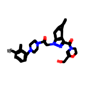 Cc1c(N2CCN(C(=O)Cn3nc(C(=O)N4C=C(CO)OCC4)c4c3CC3C(C)C43)CC2)cccc1C(F)(F)F